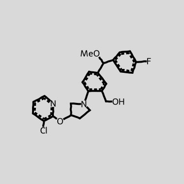 COC(c1ccc(F)cc1)c1ccc(N2CCC(Oc3ncccc3Cl)C2)c(CO)c1